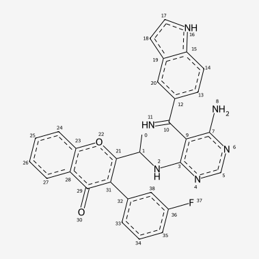 CC(Nc1ncnc(N)c1C(=N)c1ccc2[nH]ccc2c1)c1oc2ccccc2c(=O)c1-c1cccc(F)c1